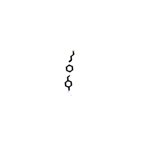 N#CC1CCC(CC[C@H]2CC[C@H](/C=C/CCCF)CC2)CC1